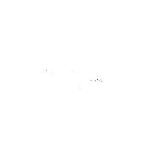 COCC(C)OCC(=O)OC